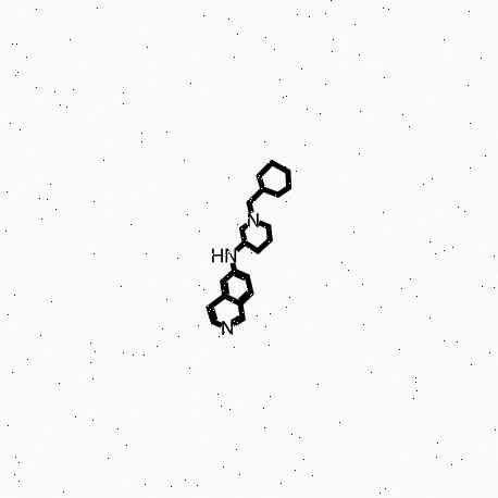 c1cc2cc(NC3CCCN(CC4CCCCC4)C3)ccc2cn1